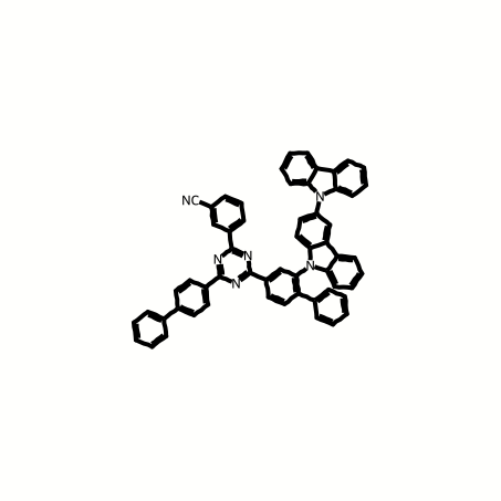 N#Cc1cccc(-c2nc(-c3ccc(-c4ccccc4)cc3)nc(-c3ccc(-c4ccccc4)c(-n4c5ccccc5c5cc(-n6c7ccccc7c7ccccc76)ccc54)c3)n2)c1